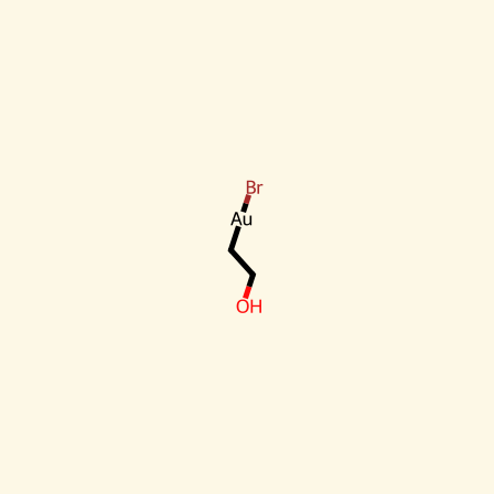 OC[CH2][Au][Br]